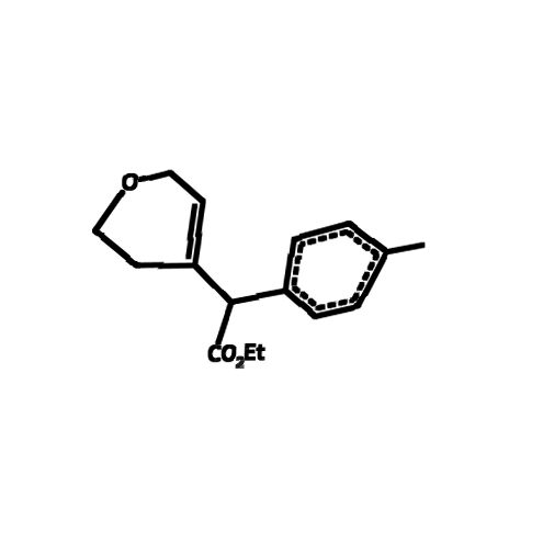 CCOC(=O)C(C1=CCOCC1)c1ccc(C)cc1